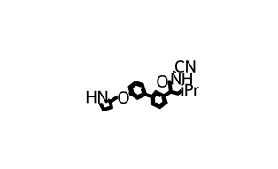 CC(C)CC(C(=O)NCC#N)c1cccc(-c2cccc(OCC3CCCN3)c2)c1